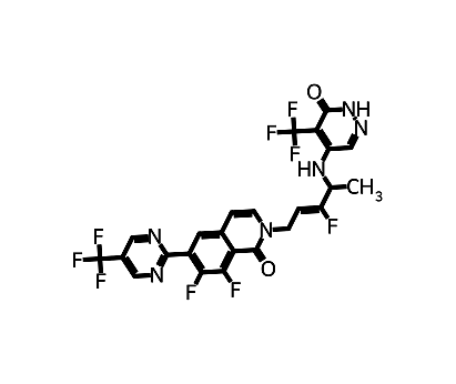 CC(Nc1cn[nH]c(=O)c1C(F)(F)F)C(F)=CCn1ccc2cc(-c3ncc(C(F)(F)F)cn3)c(F)c(F)c2c1=O